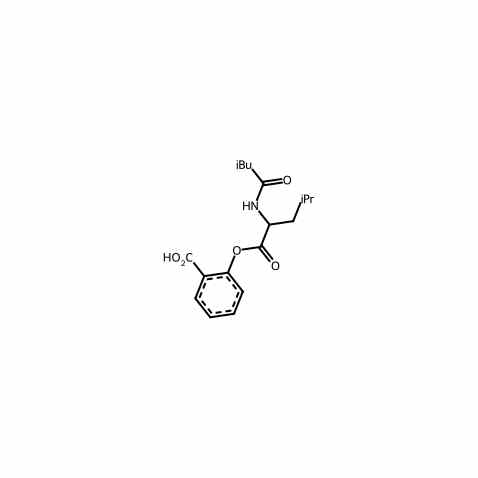 CCC(C)C(=O)NC(CC(C)C)C(=O)Oc1ccccc1C(=O)O